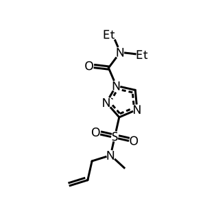 C=CCN(C)S(=O)(=O)c1ncn(C(=O)N(CC)CC)n1